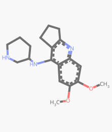 COc1cc2nc3c(c(NC4CCCNC4)c2cc1OC)CCC3